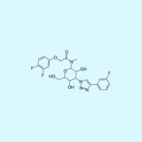 CN(C(=O)COc1ccc(F)c(F)c1)C1OC(CO)C(O)C(n2cc(-c3cccc(F)c3)nn2)C1O